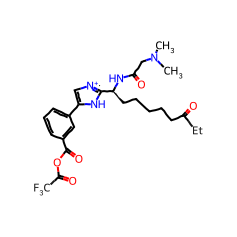 CCC(=O)CCCCC[C@H](NC(=O)CN(C)C)C1=[N+]C=C(c2cccc(C(=O)OC(=O)C(F)(F)F)c2)N1